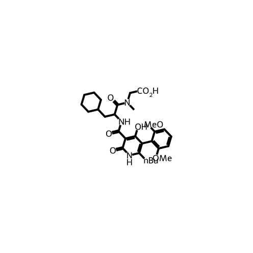 CCCCc1[nH]c(=O)c(C(=O)NC(CC2CCCCC2)C(=O)N(C)CC(=O)O)c(O)c1-c1c(OC)cccc1OC